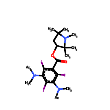 CC(=O)N(C)c1c(I)c(C(=O)OC2CC(C)(C)N(C)C2(C)C)c(I)c(N(C)C(C)=O)c1I